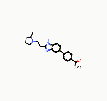 COC(=O)c1ccc(-c2ccc3[nH]c(CCN4CCCC4C)nc3c2)cc1